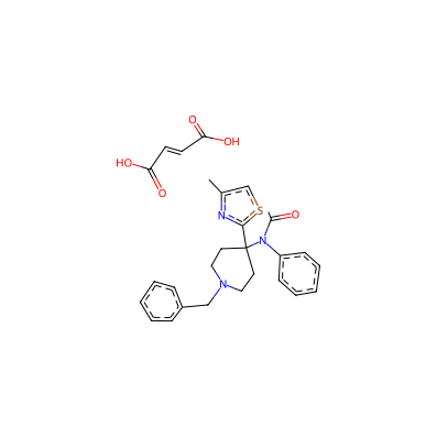 CC(=O)N(c1ccccc1)C1(c2nc(C)cs2)CCN(Cc2ccccc2)CC1.O=C(O)/C=C/C(=O)O